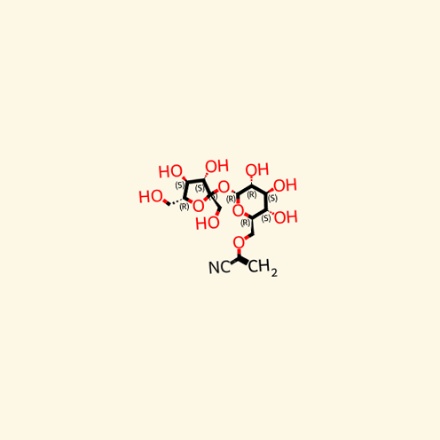 C=C(C#N)OC[C@H]1O[C@H](O[C@]2(CO)O[C@H](CO)[C@@H](O)[C@@H]2O)[C@H](O)[C@@H](O)[C@@H]1O